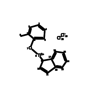 Cc1ccccc1[O][Ti+2][CH]1C=Cc2ccccc21.[Cl-].[Cl-]